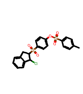 Cc1ccc(S(=O)(=O)Oc2ccc(S(=O)(=O)C3Cc4ccccc4C3Cl)cc2)cc1